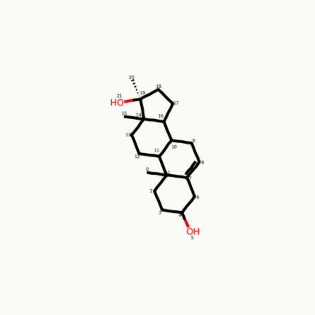 CC12CCC(O)CC1=CCC1C2CCC2(C)C1CC[C@]2(C)O